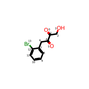 O=C(CO)C(=O)Cc1ccccc1Br